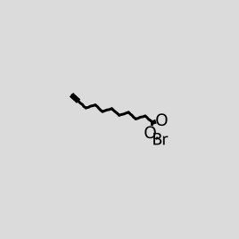 C#CCCCCCCCCC(=O)OBr